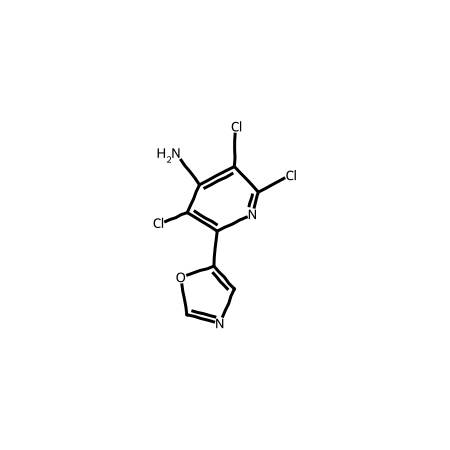 Nc1c(Cl)c(Cl)nc(-c2cnco2)c1Cl